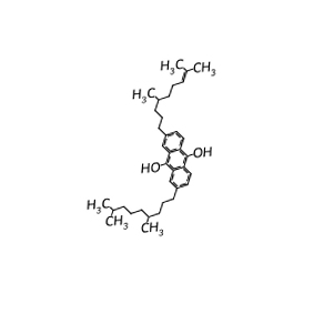 CC(C)=CCCC(C)CCCc1ccc2c(O)c3ccc(CCCC(C)CCCC(C)C)cc3c(O)c2c1